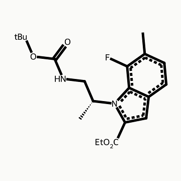 CCOC(=O)c1cc2ccc(C)c(F)c2n1[C@H](C)CNC(=O)OC(C)(C)C